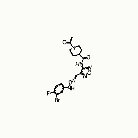 CC(=O)N1CCC(C(=O)Nc2nonc2/C=N/ONc2ccc(F)c(Br)c2)CC1